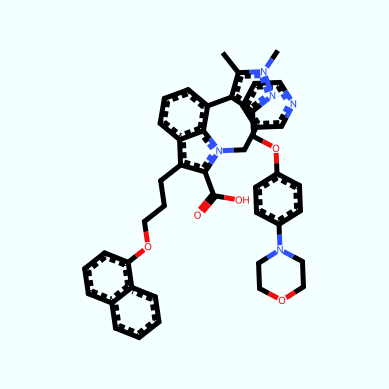 Cc1c(-c2cccc3c(CCCOc4cccc5ccccc45)c(C(=O)O)n(Cc4cccnc4)c23)c(COc2ccc(N3CCOCC3)cc2)nn1C